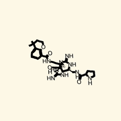 CC1(C)CCOc2c(C(=O)NC3CN4C(=N)N[C@@H](CNC(=O)C5CCCN5)C5NC(=N)N[C@@]54[C@]3(C)O)cccc21